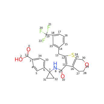 O=C(O)c1ccc(C2(NC(=O)c3c(Cc4cccc(C(F)(F)F)c4)sc4c3CCOC4)CC2)cc1